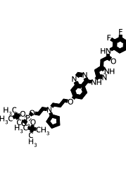 CC(C)(C)OP(=O)(OCCN(CCCOc1ccc2c(Nc3cc(CC(=O)Nc4cccc(F)c4F)[nH]n3)ncnc2c1)C1CCCC1)OC(C)(C)C